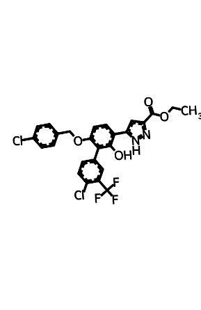 CCOC(=O)c1cc(-c2ccc(OCc3ccc(Cl)cc3)c(-c3ccc(Cl)c(C(F)(F)F)c3)c2O)[nH]n1